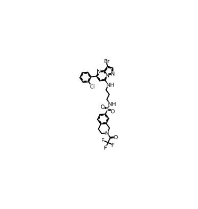 O=C(N1CCc2ccc(S(=O)(=O)NCCCNc3cc(-c4ccccc4Cl)nc4c(Br)cnn34)cc2C1)C(F)(F)F